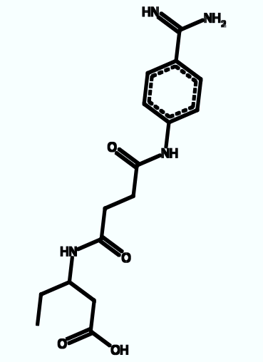 CCC(CC(=O)O)NC(=O)CCC(=O)Nc1ccc(C(=N)N)cc1